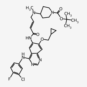 CN(CC=CC(=O)Nc1cc2c(Nc3ccc(F)c(Cl)c3)ncnc2cc1OCC1CC1)C1CCN(C(=O)OC(C)(C)C)CC1